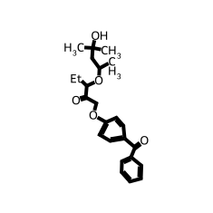 CCC(OC(C)CC(C)(C)O)C(=O)COc1ccc(C(=O)c2ccccc2)cc1